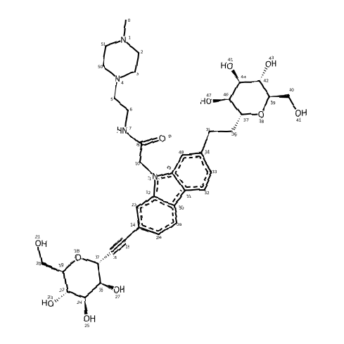 CN1CCN(CCNC(=O)Cn2c3cc(C#C[C@H]4O[C@H](CO)[C@@H](O)[C@H](O)[C@@H]4O)ccc3c3ccc(CC[C@H]4O[C@H](CO)[C@@H](O)[C@H](O)[C@@H]4O)cc32)CC1